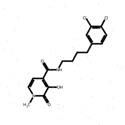 Cn1ccc(C(=O)NCCCCc2ccc(Cl)c(Cl)c2)c(O)c1=O